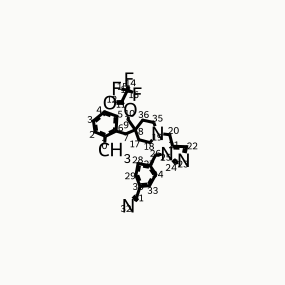 Cc1ccccc1CC1(COC(=O)C(F)(F)F)CCN(Cc2cncn2Cc2ccc(C#N)cc2)CC1